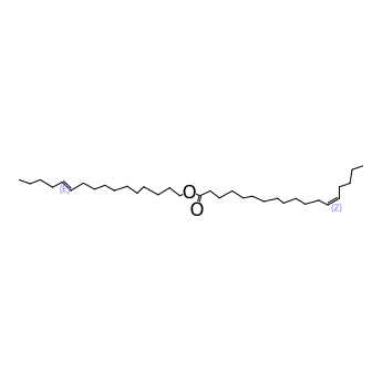 CCCC/C=C\CCCCCCCCCCCC(=O)OCCCCCCCCCC/C=C/CCCC